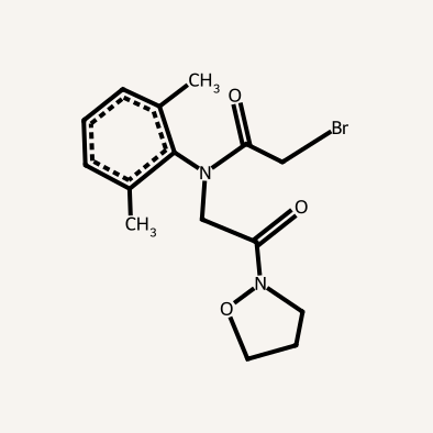 Cc1cccc(C)c1N(CC(=O)N1CCCO1)C(=O)CBr